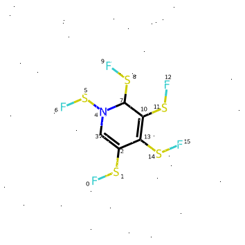 FSC1=[C]N(SF)C(SF)C(SF)=C1SF